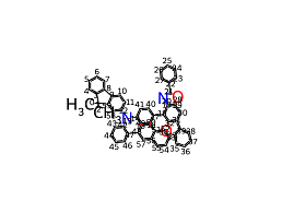 CC1(C)c2ccccc2-c2ccc(N(c3ccc(-c4c5nc(-c6ccccc6)oc5cc5c4oc4ccccc45)cc3)c3ccccc3-c3ccc4ccccc4c3)cc21